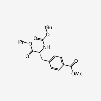 COC(=O)c1ccc(C[C@@H](NC(=O)OC(C)(C)C)C(=O)OC(C)C)cc1